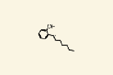 CCCCCC[CH]c1ccccc1O